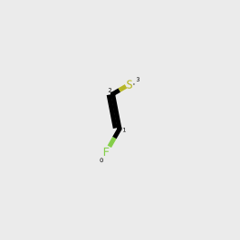 FC=C[S]